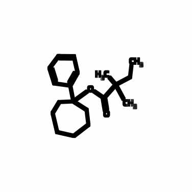 CCC(C)(C)C(=O)OC1(c2ccccc2)CCCCCC1